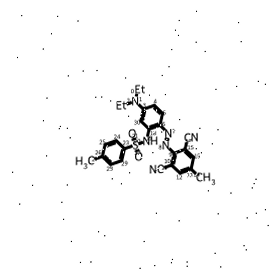 CCN(CC)c1ccc(/N=N/c2c(C#N)cc(C)cc2C#N)c(NS(=O)(=O)c2ccc(C)cc2)c1